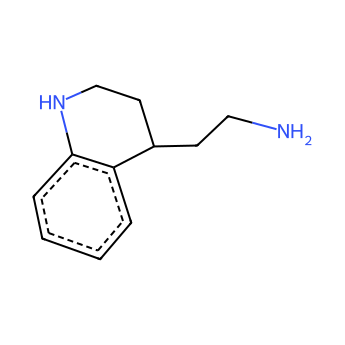 NCCC1CCNc2ccccc21